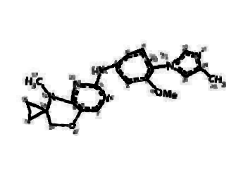 COc1cc(Nc2ncc3c(n2)N(C)C2(CC2)CO3)ccc1-n1cnc(C)c1